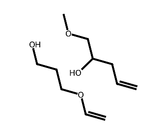 C=CCC(O)COC.C=COCCCO